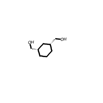 OC[C@@H]1CCC[C@H](CO)C1